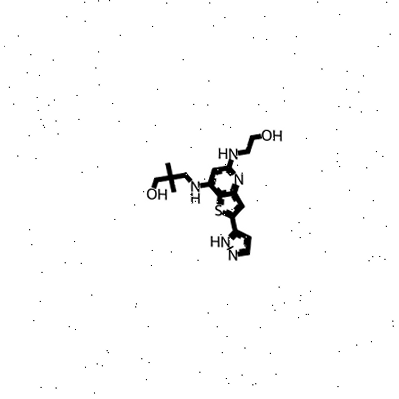 CC(C)(CO)CNc1cc(NCCO)nc2cc(-c3ccn[nH]3)sc12